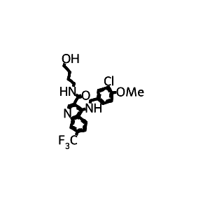 COc1ccc(CNc2c(C(=O)NCCCCO)cnc3cc(C(F)(F)F)ccc23)cc1Cl